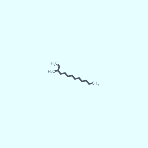 [CH2]CCCCCCCCCC(C)C[CH2]